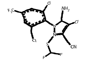 N#CC1=C(Cl)C(N)N(c2c(Cl)cc(C(F)(F)F)cc2Cl)N1SC(F)F